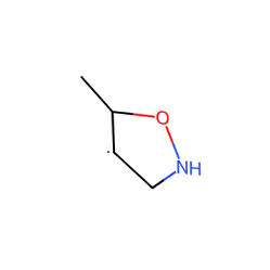 CC1[CH]CNO1